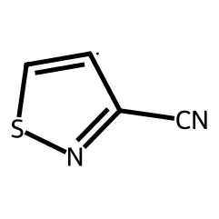 N#Cc1[c]csn1